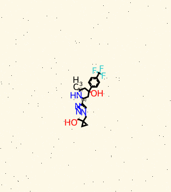 C[C@H]1CC(O)(c2ccc(C(F)(F)F)cc2)C[C@@H](c2cn(CC3(CO)CC3)nn2)N1